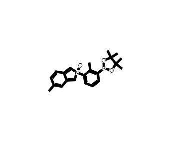 Cc1ccc2c(c1)=C[N+]([O-])(c1cccc(B3OC(C)(C)C(C)(C)O3)c1C)C=2